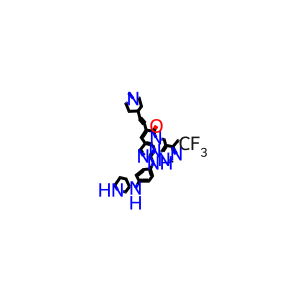 CN1CCC(C#Cc2cc3cnc(Nc4ccc(NC5CCCNC5)cc4)nc3n(Cc3cncnc3CC(F)(F)F)c2=O)CC1